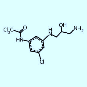 NCC(O)CNc1cc(Cl)cc(NC(=O)C(Cl)(Cl)Cl)c1